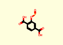 O=POc1cc(C(=O)O)ccc1C(=O)O